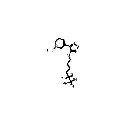 [2H]C([2H])([2H])C([2H])([2H])CCCCOc1nsnc1C1=CCCN(C)C1